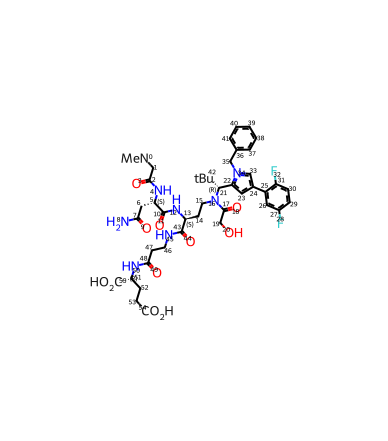 CNCC(=O)N[C@@H](CC(N)=O)C(=O)N[C@@H](CCN(C(=O)CO)[C@@H](c1cc(-c2cc(F)ccc2F)cn1Cc1ccccc1)C(C)(C)C)C(=O)NCCC(=O)N[C@H](CCC(=O)O)C(=O)O